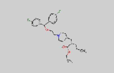 CCCC(CC1CCN(CCOC(c2ccc(F)cc2)c2ccc(F)cc2)CC1)C(=O)OCC